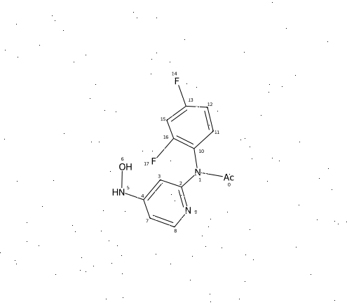 CC(=O)N(c1cc(NO)ccn1)c1ccc(F)cc1F